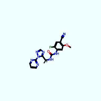 COc1cc(NC(=O)N[C@@H](C)c2ncnn2-c2ncccn2)c(F)cc1C#N